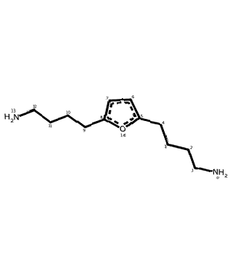 NCCCCc1ccc(CCCCN)o1